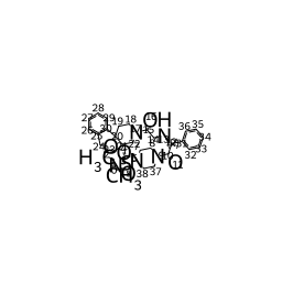 CN(C)S(=O)(=O)N1CCN(C(=O)[C@H](NCC(=O)N2CCC3(CC2)OCc2ccccc23)c2ccccc2)CC1